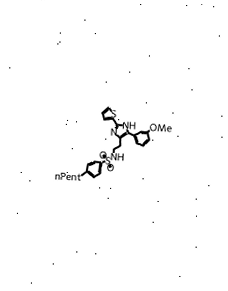 CCCCCc1ccc(S(=O)(=O)NCCc2nc(-c3cccs3)[nH]c2-c2cccc(OC)c2)cc1